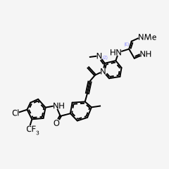 C=C(C#Cc1cc(C(=O)Nc2ccc(Cl)c(C(F)(F)F)c2)ccc1C)n1cccc(N/C(C=N)=C/NC)/c1=N/C